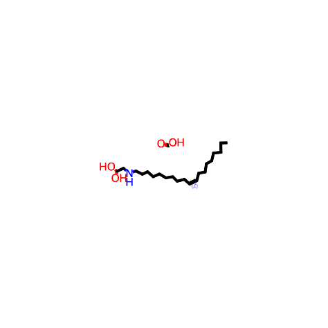 CCCCCCCC/C=C\CCCCCCCCCNCC(O)O.O=CO